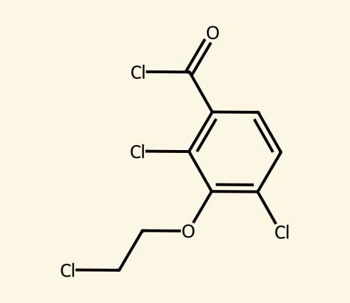 O=C(Cl)c1ccc(Cl)c(OCCCl)c1Cl